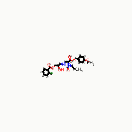 CCCN(C=O)C(CNCC(O)COC(=O)c1ccccc1F)C(=O)OCc1ccc(OC)cc1